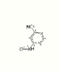 N#Cc1cccc(NCl)c1